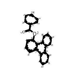 O=C(Oc1cccc2c3ccccc3c3ccccc3c12)c1ccccc1